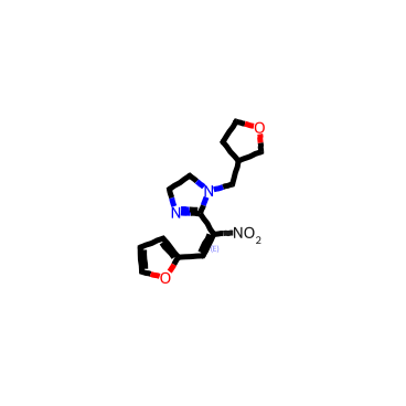 O=[N+]([O-])/C(=C/c1ccco1)C1=NCCN1CC1CCOC1